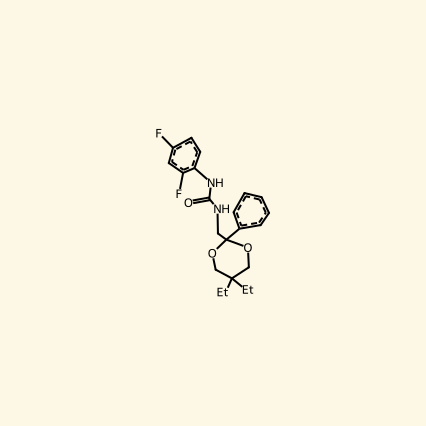 CCC1(CC)COC(CNC(=O)Nc2ccc(F)cc2F)(c2ccccc2)OC1